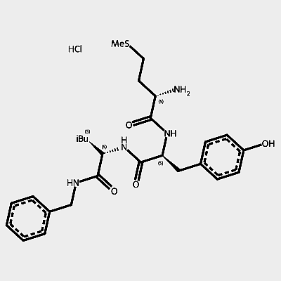 CC[C@H](C)[C@H](NC(=O)[C@H](Cc1ccc(O)cc1)NC(=O)[C@@H](N)CCSC)C(=O)NCc1ccccc1.Cl